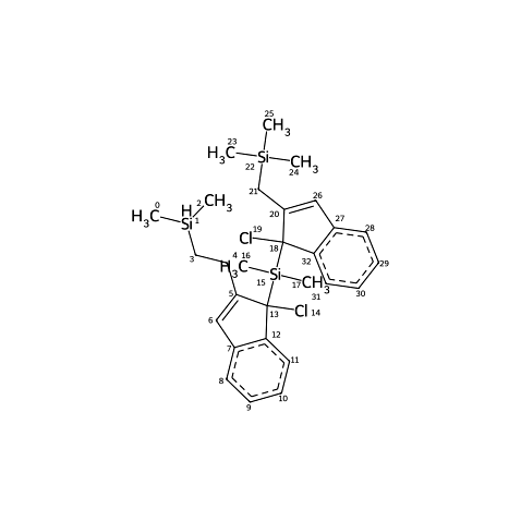 C[SiH](C)CCC1=Cc2ccccc2C1(Cl)[Si](C)(C)C1(Cl)C(C[Si](C)(C)C)=Cc2ccccc21